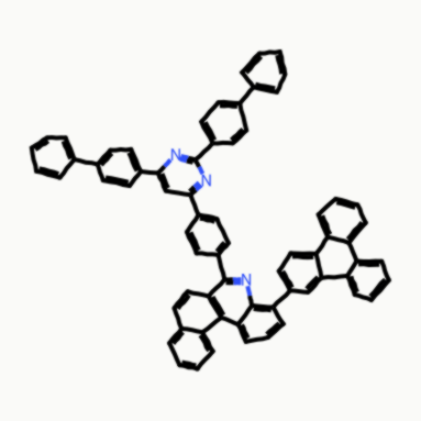 c1ccc(-c2ccc(-c3cc(-c4ccc(-c5nc6c(-c7ccc8c9ccccc9c9ccccc9c8c7)cccc6c6c5ccc5ccccc56)cc4)nc(-c4ccc(-c5ccccc5)cc4)n3)cc2)cc1